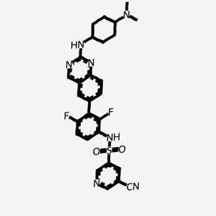 CN(C)C1CCC(Nc2ncc3cc(-c4c(F)ccc(NS(=O)(=O)c5cncc(C#N)c5)c4F)ccc3n2)CC1